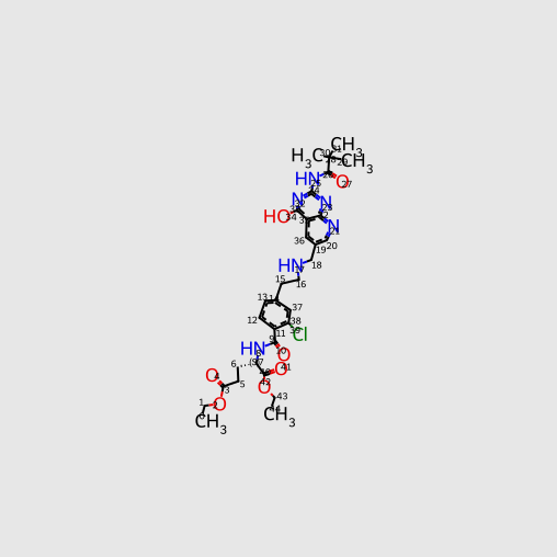 CCOC(=O)CC[C@H](NC(=O)c1ccc(CCNCc2cnc3nc(NC(=O)C(C)(C)C)nc(O)c3c2)cc1Cl)C(=O)OCC